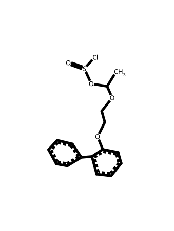 CC(OCCOc1ccccc1-c1ccccc1)OS(=O)Cl